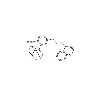 COc1ccc(CC/C=C(/C=C\C(=O)O)c2ccccc2)cc1C12CC3CC(CC(C3)C1)C2